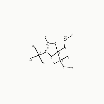 CCC(C)(C)C(COC)(COC)COC(C)(C)C